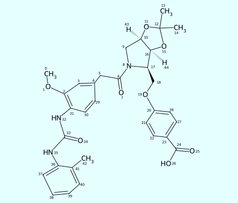 COc1cc(CC(=O)N2C[C@H]3OC(C)(C)O[C@H]3[C@H]2COc2ccc(C(=O)O)cc2)ccc1NC(=O)Nc1ccccc1C